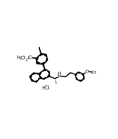 CCOc1cccc(CCN[C@H](C)c2cc(-c3ccc(C)c(C(=O)O)c3)c3ccccc3c2)c1.Cl